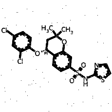 CC1(C)C[C@@H](Oc2ccc(Cl)cc2Cl)c2ccc(S(=O)(=O)Nc3nccs3)cc2O1